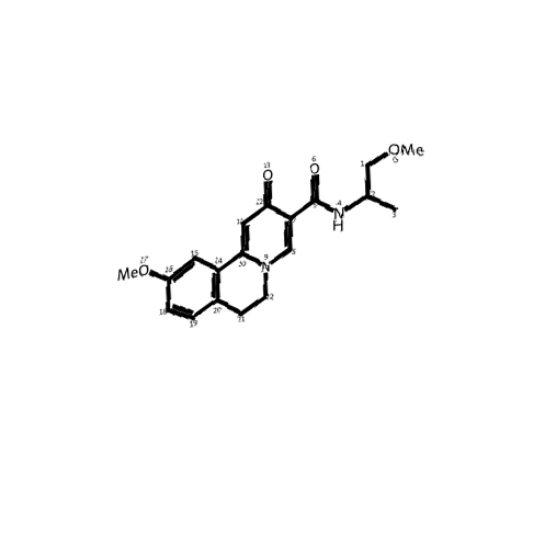 COCC(C)NC(=O)c1cn2c(cc1=O)-c1cc(OC)ccc1CC2